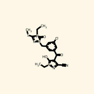 CCn1nc(C#N)c(C(=O)c2cc(Cl)cc(Cn3nc(SC)n(CC)c3=O)c2)c1O